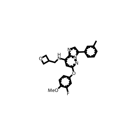 COc1ccc(Oc2cc(NCC3COC3)c3ncc(-c4cccc(C)c4)n3n2)cc1F